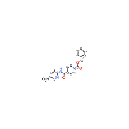 O=C(Nc1ccc([N+](=O)[O-])cn1)C1CCN(C(=O)OCc2ccccc2)CC1